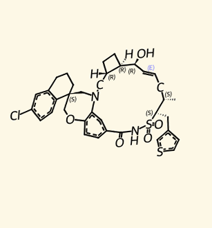 C[C@H]1C/C=C/[C@H](O)[C@@H]2CC[C@H]2CN2C[C@@]3(CCCc4cc(Cl)ccc43)COc3ccc(cc32)C(=O)NS(=O)(=O)[C@H]1Cc1ccsc1